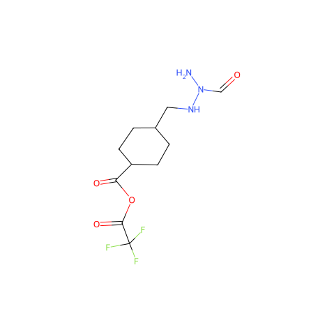 NN(C=O)NCC1CCC(C(=O)OC(=O)C(F)(F)F)CC1